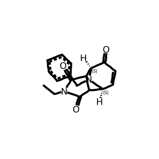 CCN1C(=O)C2C(C1=O)[C@@H]1C=CC(=O)[C@H]2N1Cc1ccccc1